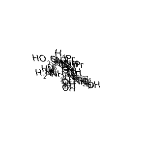 CC(C)C[C@H](NC(=O)[C@H](Cc1ccc(O)cc1)NC(=O)[C@@H](N)Cc1ccc(O)cc1)C(=O)N[C@H](C(=O)N[C@@H](CCCNC(=N)N)C(=O)O)C(C)C